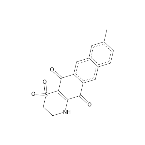 Cc1ccc2cc3c(cc2c1)C(=O)C1=C(NCCS1(=O)=O)C3=O